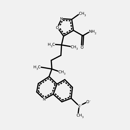 Cc1noc(C(C)(C)CCC(C)(C)c2ccnc3cc([S+](C)[O-])ccc23)c1C(N)=O